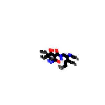 C=N/C(=C/NC(=O)/C(C(N)=O)=C(\O)C(C)(C)NC)C(=C)/C=C/C(F)(F)F